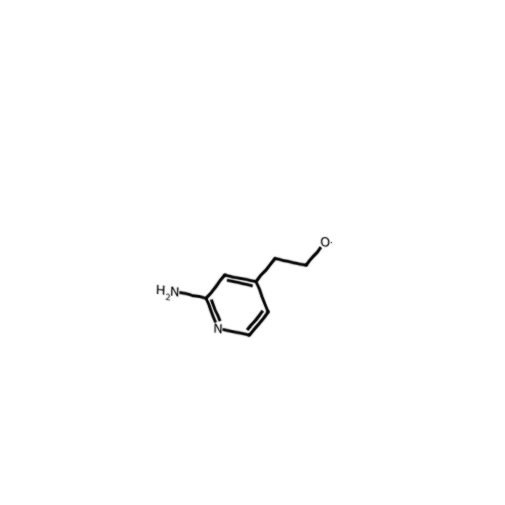 Nc1cc(CC[O])ccn1